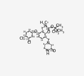 CN(Cc1cc(CN2CCNC(=O)C2)ccc1Oc1ccc(Cl)c(Cl)c1)C(=O)OC(C)(C)C